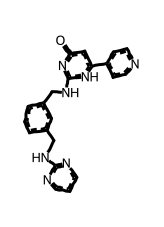 O=c1cc(-c2ccncc2)[nH]c(NCc2cccc(CNc3ncccn3)c2)n1